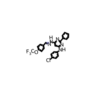 FC(F)(F)Oc1ccc(/C=N/Nc2cc(Nc3ccc(Cl)cc3)nc(-c3ccccc3)n2)cc1